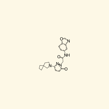 O=C(Cn1nc(N2CCC3(CCC3)C2)ccc1=O)Nc1ccc2ocnc2c1